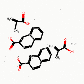 C=C(C)C(=O)O.C=C(C)C(=O)O.O=C([O-])c1ccc2ccccc2c1.O=C([O-])c1ccc2ccccc2c1.[Cu+2]